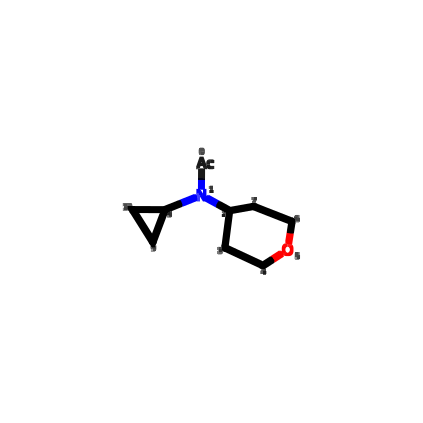 CC(=O)N(C1CCOCC1)C1CC1